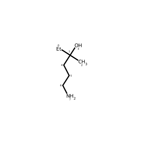 CCC(C)(O)CCCN